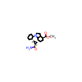 COC(=O)c1cccc2c1ccn2-c1ccccc1[C@@H]1C[C@H]1C(N)=O